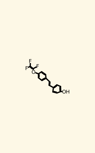 Oc1ccc(C=Cc2ccc(OC(F)=C(F)F)cc2)cc1